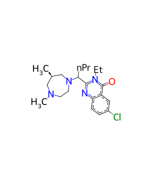 CCCC(c1nc2ccc(Cl)cc2c(=O)n1CC)N1CCN(C)C[C@@H](C)C1